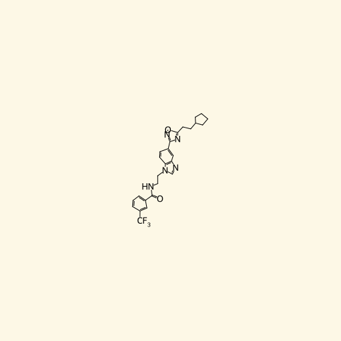 O=C(NCCn1cnc2cc(-c3noc(CCC4CCCC4)n3)ccc21)c1cccc(C(F)(F)F)c1